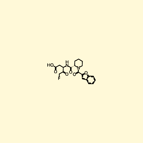 O=C(O)CC(NC(=O)[C@@H]1CCCCN1C(=O)c1cc2ccccc2o1)C(=O)CF